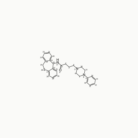 O=C(CCCN1CCN(c2ccccc2)CC1)NC1c2ccccc2CSc2ccccc21